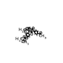 CC(=O)c1ccc(-n2c(=O)n3n(c2=O)C2C(=CC3)C(C)(C)Oc3cc(OC(=O)OC(C)C)ccc32)cc1